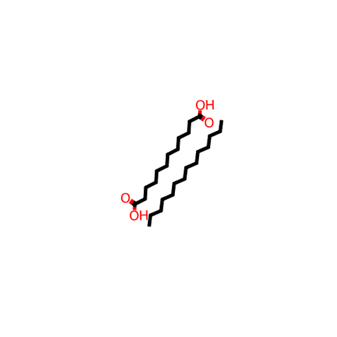 CCCCCCCCCCCCCC.O=C(O)CCCCCCCCCCC(=O)O